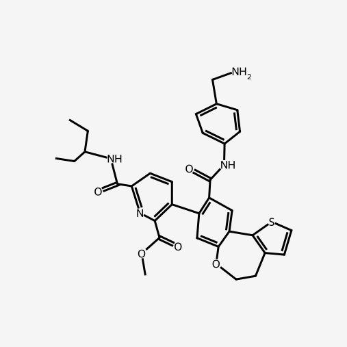 CCC(CC)NC(=O)c1ccc(-c2cc3c(cc2C(=O)Nc2ccc(CN)cc2)-c2sccc2CCO3)c(C(=O)OC)n1